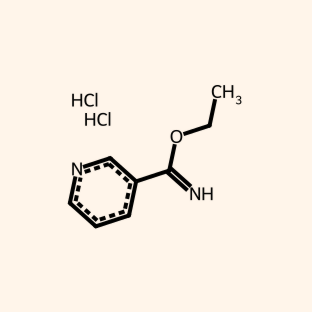 CCOC(=N)c1cccnc1.Cl.Cl